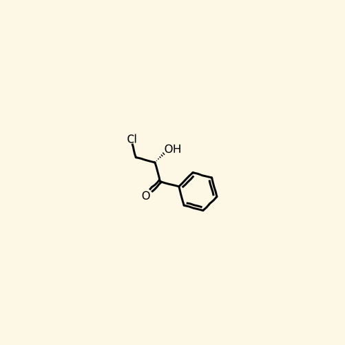 O=C(c1ccccc1)[C@@H](O)CCl